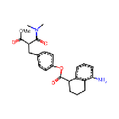 COC(=O)C(Cc1ccc(OC(=O)C2CCCc3c(N)cccc32)cc1)C(=O)N(C)C